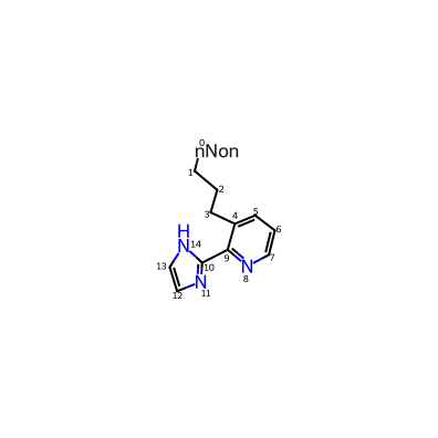 CCCCCCCCCCCCc1cccnc1-c1ncc[nH]1